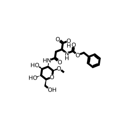 CO[C@H]1O[C@@H](CO)[C@H](O)[C@@H](O)[C@@H]1NC(=O)CC(NC(=O)OCc1ccccc1)C(=O)O